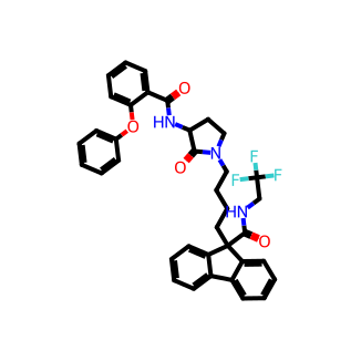 O=C(NC1CCN(CCCCC2(C(=O)NCC(F)(F)F)c3ccccc3-c3ccccc32)C1=O)c1ccccc1Oc1ccccc1